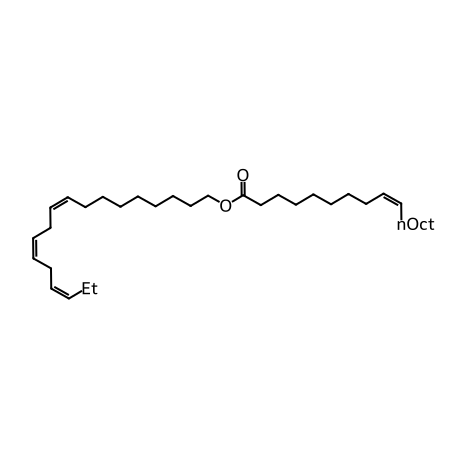 CC/C=C\C/C=C\C/C=C\CCCCCCCCOC(=O)CCCCCCC/C=C\CCCCCCCC